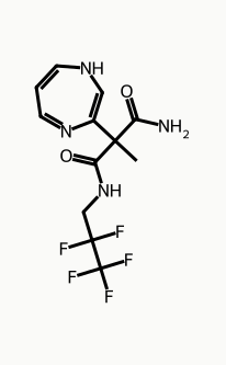 CC(C(N)=O)(C(=O)NCC(F)(F)C(F)(F)F)C1=CNC=CC=N1